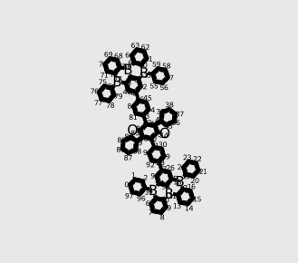 c1ccc(B2c3ccccc3B3c4ccccc4B(c4ccccc4)c4cc(-c5ccc(-c6c7oc8ccccc8c7c(-c7ccc(-c8cc9c%10c(c8)B(c8ccccc8)c8ccccc8B%10c8ccccc8B9c8ccccc8)cc7)c7oc8ccccc8c67)cc5)cc2c43)cc1